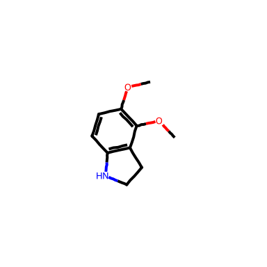 COc1ccc2c(c1OC)CCN2